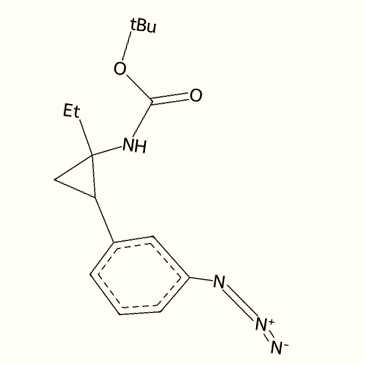 CCC1(NC(=O)OC(C)(C)C)CC1c1cccc(N=[N+]=[N-])c1